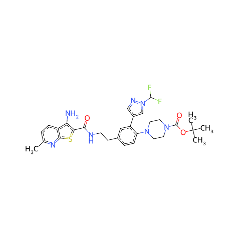 Cc1ccc2c(N)c(C(=O)NCCc3ccc(N4CCN(C(=O)OC(C)(C)C)CC4)c(-c4cnn(C(F)F)c4)c3)sc2n1